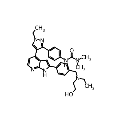 CCN(CCO)Cc1ccc(-c2cc3c(-c4cn(CC)nc4-c4ccc(NC(=O)N(C)C)cc4)ccnc3[nH]2)cc1